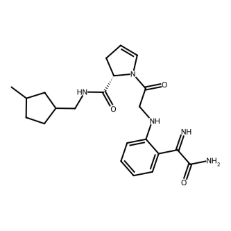 CC1CCC(CNC(=O)[C@@H]2CC=CN2C(=O)CNc2ccccc2C(=N)C(N)=O)C1